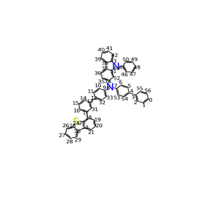 c1ccc(-c2ccc(N(c3ccc(-c4cccc(-c5cccc6c5sc5ccccc56)c4)cc3)c3ccc4c5ccccc5n(-c5ccccc5)c4c3)cc2)cc1